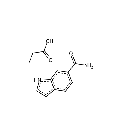 CCC(=O)O.NC(=O)c1ccc2cc[nH]c2c1